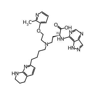 Cc1ncccc1OCCN(CCCCc1ccc2c(n1)NCCC2)CC[C@H](Nc1ncnc2cn[nH]c12)C(=O)O